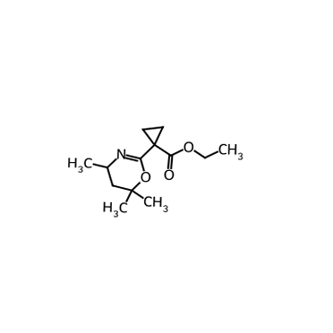 CCOC(=O)C1(C2=NC(C)CC(C)(C)O2)CC1